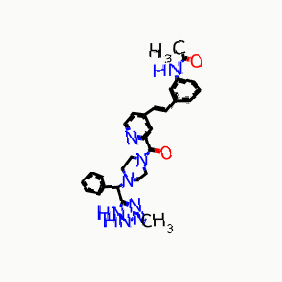 CC(=O)Nc1cccc(/C=C/c2ccnc(C(=O)N3CCN(C(C4=NN(C)NN4)c4ccccc4)CC3)c2)c1